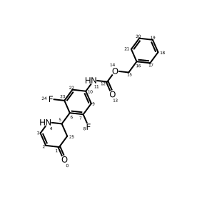 O=C1C=CNC(c2c(F)cc(NC(=O)OCc3ccccc3)cc2F)C1